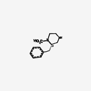 O=C(O)N1CCNC[C@@H]1Cc1ccccc1